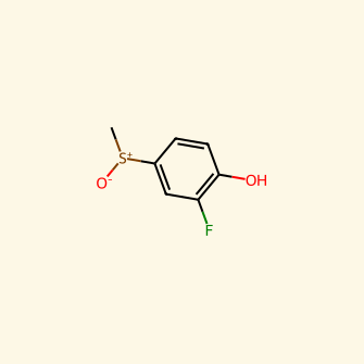 C[S+]([O-])c1ccc(O)c(F)c1